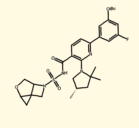 CC(C)COc1cc(F)cc(-c2ccc(C(=O)NS(=O)(=O)N3CC45CC4OCC35)c(N3C[C@@H](C)CC3(C)C)n2)c1